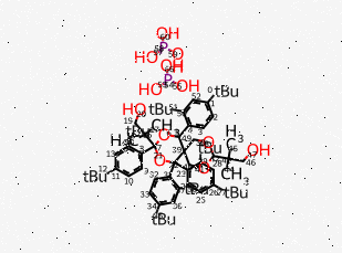 CC(C)(C)c1ccc(C2OC(c3ccc(C(C)(C)C)cc3C(C)(C)C)(C(C)(C)CO)OC(c3ccc(C(C)(C)C)cc3C(C)(C)C)(c3ccc(C(C)(C)C)cc3C(C)(C)C)C23COC(C(C)(C)CO)OC3)c(C(C)(C)C)c1.OP(O)O.OP(O)O